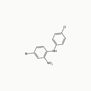 O=[N+]([O-])c1cc(Br)ccc1Nc1ccc(Cl)cc1